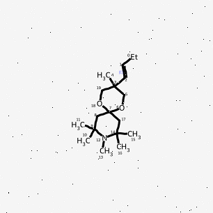 CC/C=C/C1(C)COC2(CC(C)(C)N(C)C(C)(C)C2)OC1